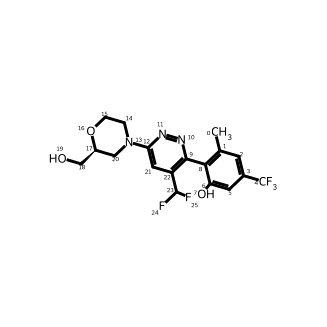 Cc1cc(C(F)(F)F)cc(O)c1-c1nnc(N2CCO[C@H](CO)C2)cc1C(F)F